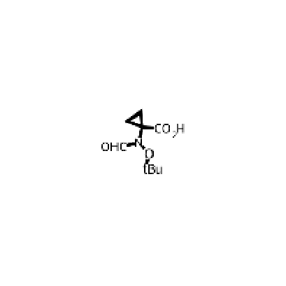 CC(C)(C)ON(C=O)C1(C(=O)O)CC1